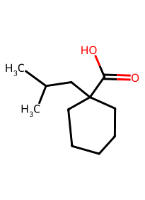 CC(C)CC1(C(=O)O)CCCCC1